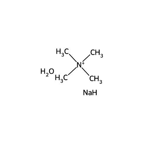 C[N+](C)(C)C.O.[NaH]